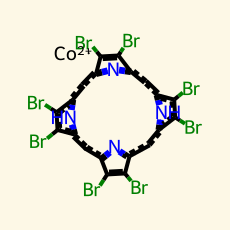 BrC1=C(Br)c2cc3[nH]c(cc4nc(cc5[nH]c(cc1n2)c(Br)c5Br)C(Br)=C4Br)c(Br)c3Br.[Co+2]